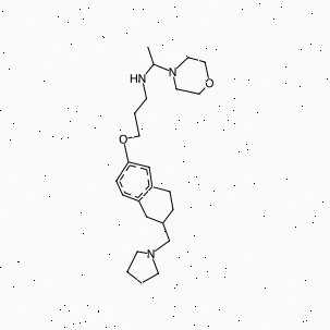 CC(NCCCOc1ccc2c(c1)CCC(CN1CCCC1)C2)N1CCOCC1